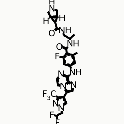 Cc1cc(Nc2nccn3c(-c4cn(CC(F)F)nc4C(F)(F)F)cnc23)cc(F)c1C(=O)NC(C)CNC(=O)C1[C@H]2CNC[C@@H]12